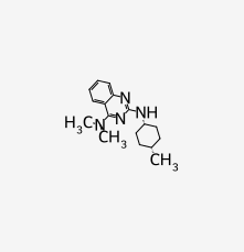 CN(C)c1nc(N[C@H]2CC[C@@H](C)CC2)nc2ccccc12